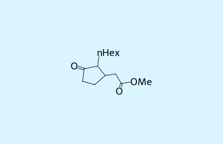 CCCCCCC1C(=O)CCC1CC(=O)OC